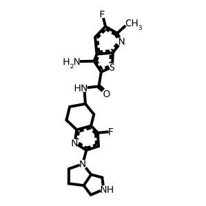 Cc1nc2sc(C(=O)NC3CCc4nc(N5CCC6CNCC65)cc(F)c4C3)c(N)c2cc1F